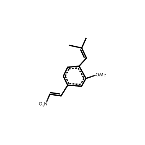 COc1cc(/C=C/[N+](=O)[O-])ccc1C=C(C)C